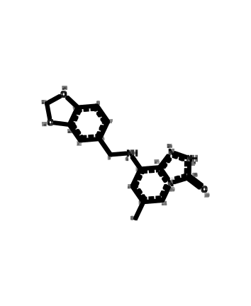 Cc1cc(NCc2ccc3c(c2)OCO3)c2n[nH]c(=O)n2c1